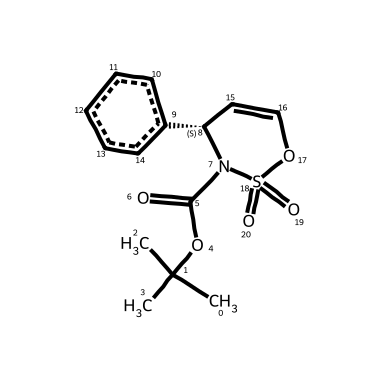 CC(C)(C)OC(=O)N1[C@H](c2ccccc2)C=COS1(=O)=O